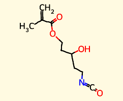 C=C(C)C(=O)OCCC(O)CCN=C=O